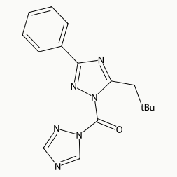 CC(C)(C)Cc1nc(-c2ccccc2)nn1C(=O)n1cncn1